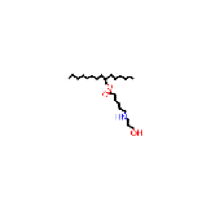 CCCCCCCCC(CCCCCC)COC(=O)CCCCCNCCCO